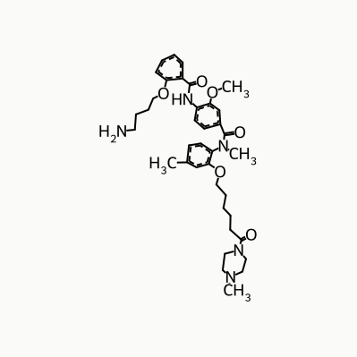 COc1cc(C(=O)N(C)c2ccc(C)cc2OCCCCCC(=O)N2CCN(C)CC2)ccc1NC(=O)c1ccccc1OCCCCN